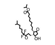 CC(C)CCCCC(F)(F)C(=O)CC[C@H]1[C@H](O)CC(=O)[C@@H]1CCCCCCCCC(=O)OC(C)C